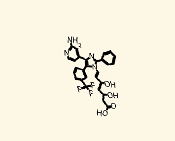 Nc1cc(-c2nc(-c3ccccc3)n(/C=C/C(O)CC(O)CC(=O)O)c2-c2cccc(C(F)(F)F)c2)ccn1